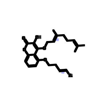 CC/C=C/CCOc1cccc2oc(=O)c(O)c(OC/C=C(\C)CCC=C(C)C)c12